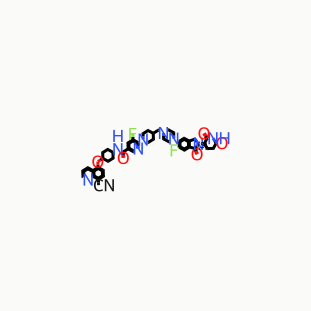 N#Cc1ccc(OC2CCC(NC(=O)c3cnc(N4CCC(CN5CCN(c6cc7c(cc6F)C(=O)N([C@H]6CCC(=O)NC6=O)C7)CC5)CC4)c(F)c3)CC2)c2cccnc12